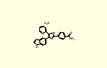 NC(=O)c1ccc(-c2nc(-c3ccc4[nH]cnc4c3)c(-c3ccccn3)[nH]2)cc1.O